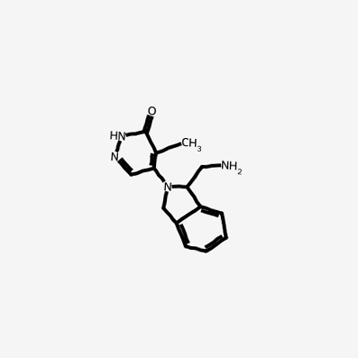 Cc1c(N2Cc3ccccc3C2CN)cn[nH]c1=O